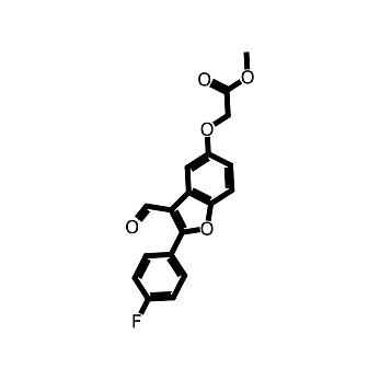 COC(=O)COc1ccc2oc(-c3ccc(F)cc3)c(C=O)c2c1